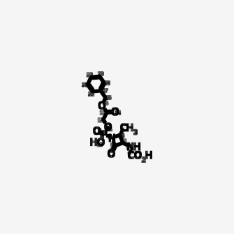 C[C@H]1C(NC(=O)O)C(=O)N1P(=O)(O)OCC(=O)OCc1ccccc1